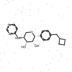 O[C@@H]1[C@H](O)[C@@H](Nc2ccncn2)CO[C@@H]1c1ccc(CC2CCC2)cc1